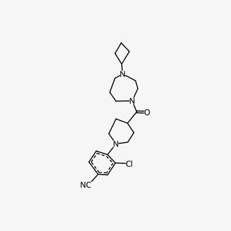 N#Cc1ccc(N2CCC(C(=O)N3CCCN(C4CCC4)CC3)CC2)c(Cl)c1